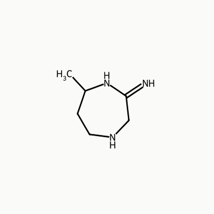 CC1CCNCC(=N)N1